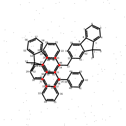 CC1(C)c2ccccc2-c2ccc(CC(c3ccccc3)c3ccccc3-c3cccc(-c4ccccc4N(c4ccccc4)c4ccc5c(c4)C(C)(C)c4ccccc4-5)c3)cc21